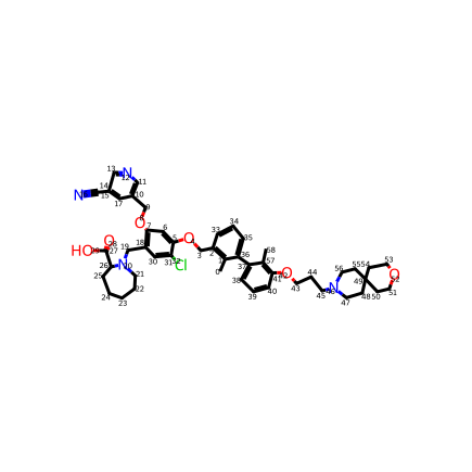 Cc1c(COc2cc(OCc3cncc(C#N)c3)c(CN3CCCCCC3C(=O)O)cc2Cl)cccc1-c1cccc(OCCCN2CCC3(CCOCC3)CC2)c1C